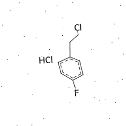 Cl.Fc1ccc(CCCl)cc1